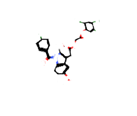 COc1ccc2c(c1)c(CC(=O)OCC(=O)Oc1cc(Cl)c(Cl)cc1Cl)c(C)n2C(=O)c1ccc(Cl)cc1